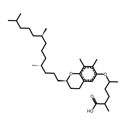 Cc1c(OC(C)CCC(C)C(=O)O)cc2c(c1C)O[C@H](CCC[C@H](C)CCC[C@H](C)CCCC(C)C)CC2